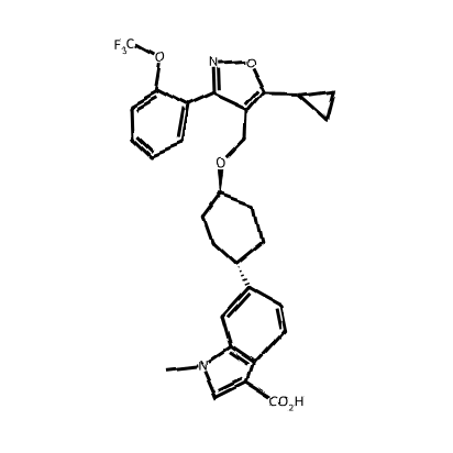 Cn1cc(C(=O)O)c2ccc([C@H]3CC[C@H](OCc4c(-c5ccccc5OC(F)(F)F)noc4C4CC4)CC3)cc21